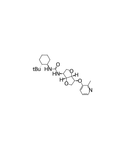 Cc1ncccc1O[C@H]1CO[C@H]2[C@@H]1OC[C@@H]2NC(=O)N[C@@H]1CCCC[C@H]1C(C)(C)C